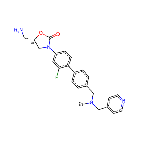 CCN(Cc1ccncc1)Cc1ccc(-c2ccc(N3C[C@H](CN)OC3=O)cc2F)cc1